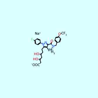 CC(C)c1c(C(=O)N(C)Cc2ccc(OC(F)(F)F)cc2)nn(-c2ccc(F)cc2)c1CC[C@@H](O)C[C@@H](O)CC(=O)[O-].[Na+]